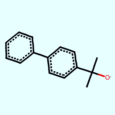 CC(C)([O])c1ccc(-c2ccccc2)cc1